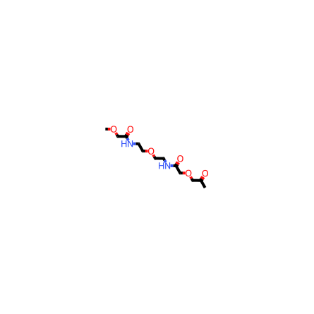 COCC(=O)NCCOCCNC(=O)COCC(C)=O